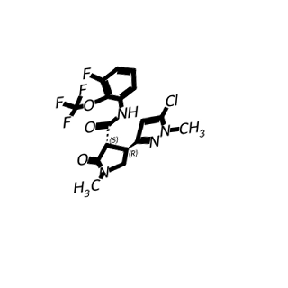 CN1C[C@H](c2cc(Cl)n(C)n2)[C@@H](C(=O)Nc2cccc(F)c2OC(F)(F)F)C1=O